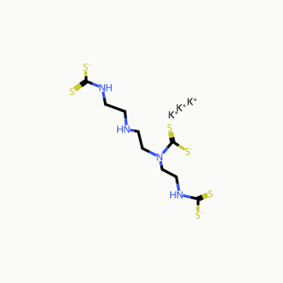 S=C([S-])NCCNCCN(CCNC(=S)[S-])C(=S)[S-].[K+].[K+].[K+]